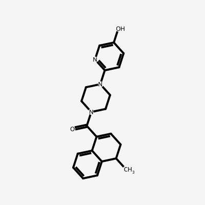 CC1CC=C(C(=O)N2CCN(c3ccc(O)cn3)CC2)c2ccccc21